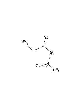 CC[CH]C(=O)NC(CC)CC(C)C